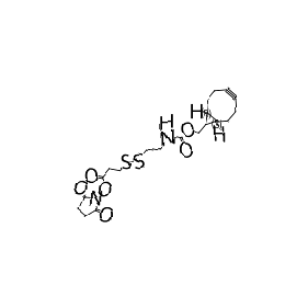 O=C(CCSSCCNC(=O)OCC1[C@H]2CCC#CCC[C@@H]12)ON1C(=O)CCC1=O